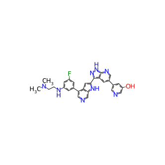 CN(C)CCNc1cc(F)cc(-c2cncc3[nH]c(-c4n[nH]c5ncc(-c6cncc(O)c6)cc45)cc23)c1